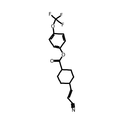 N#CC=CC1CCC(C(=O)Oc2ccc(OC(F)(F)F)cc2)CC1